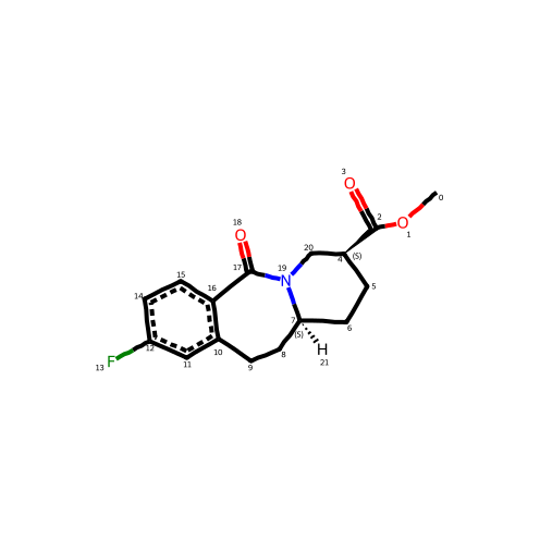 COC(=O)[C@H]1CC[C@H]2CCc3cc(F)ccc3C(=O)N2C1